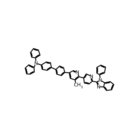 Cc1cc(-c2ccc(-c3ccc(N(c4ccccc4)c4ccccc4)cc3)cc2)cnc1-c1ccc(-c2nc3ccccc3n2-c2ccccc2)nc1